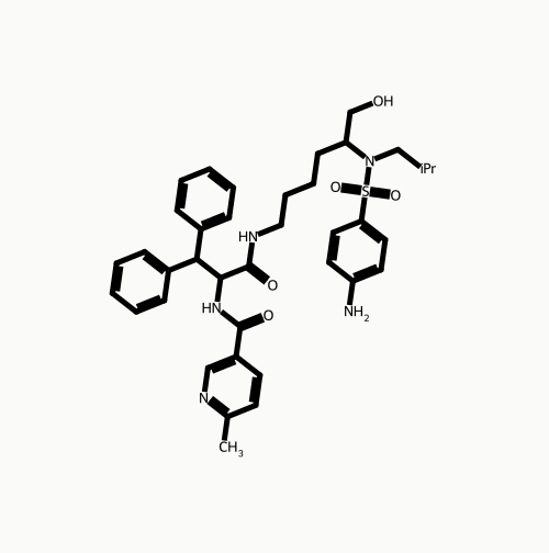 Cc1ccc(C(=O)NC(C(=O)NCCCCC(CO)N(CC(C)C)S(=O)(=O)c2ccc(N)cc2)C(c2ccccc2)c2ccccc2)cn1